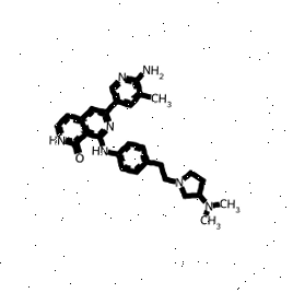 Cc1cc(-c2cc3cc[nH]c(=O)c3c(Nc3ccc(CCN4CCC(N(C)C)C4)cc3)n2)cnc1N